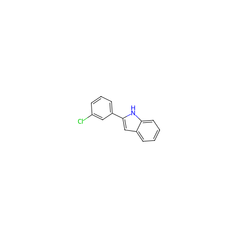 Clc1cccc(-c2cc3ccccc3[nH]2)c1